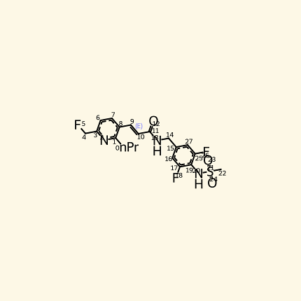 CCCc1nc(CF)ccc1/C=C/C(=O)NCc1cc(F)c(NS(C)(=O)=O)c(F)c1